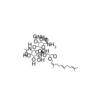 CC(=O)NC1C(O)[C@H](O)C(CO)O[C@H]1OC1[C@@H](OP(=O)(O)OC[C@@H](C=O)OC/C=C(/C)CC/C=C(\C)CCC=C(C)C)OC(C(N)=O)[C@H](O)[C@@H]1OC(N)=O